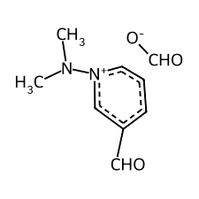 CN(C)[n+]1cccc(C=O)c1.O=C[O-]